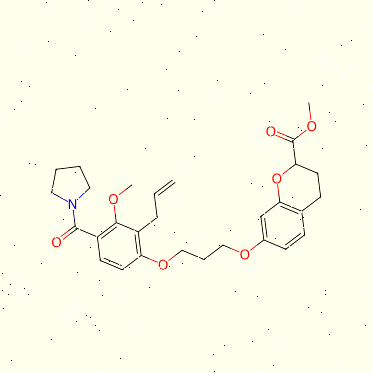 C=CCc1c(OCCCOc2ccc3c(c2)OC(C(=O)OC)CC3)ccc(C(=O)N2CCCC2)c1OC